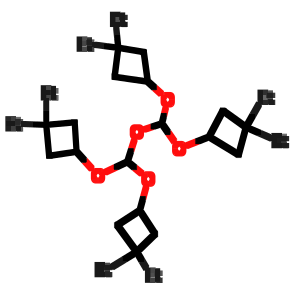 CCC1(CC)CC(OC(OC2CC(CC)(CC)C2)OC(OC2CC(CC)(CC)C2)OC2CC(CC)(CC)C2)C1